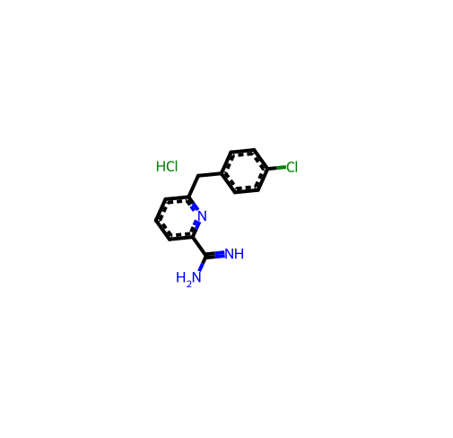 Cl.N=C(N)c1cccc(Cc2ccc(Cl)cc2)n1